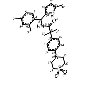 Cc1ccc(C(NC(=O)C(C)(C)c2ccc(N3CCS(=O)(=O)CC3)cc2)c2ccc(C)o2)c(C)c1